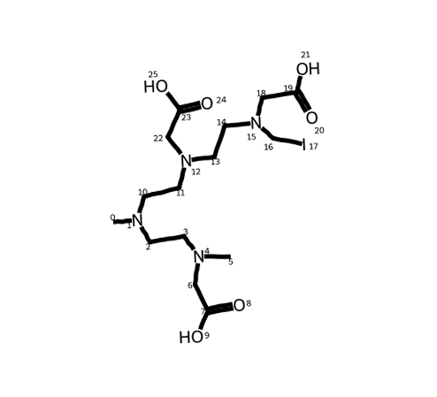 CN(CCN(C)CC(=O)O)CCN(CCN(CI)CC(=O)O)CC(=O)O